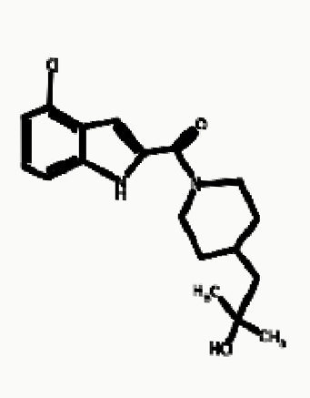 CC(C)(O)CC1CCN(C(=O)c2cc3c(Cl)cccc3[nH]2)CC1